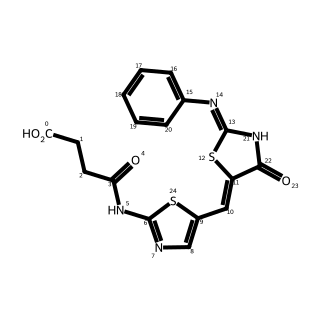 O=C(O)CCC(=O)Nc1ncc(C=C2SC(=Nc3ccccc3)NC2=O)s1